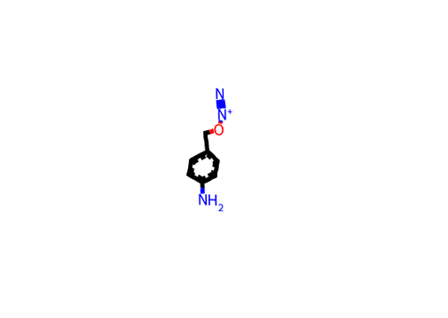 N#[N+]OCc1ccc(N)cc1